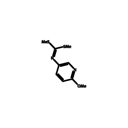 COc1ccc(N=C(SC)SC)cn1